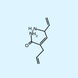 C=CCC(=CC(N)C=C)C(N)=O